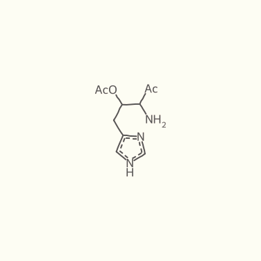 CC(=O)OC(Cc1c[nH]cn1)C(N)C(C)=O